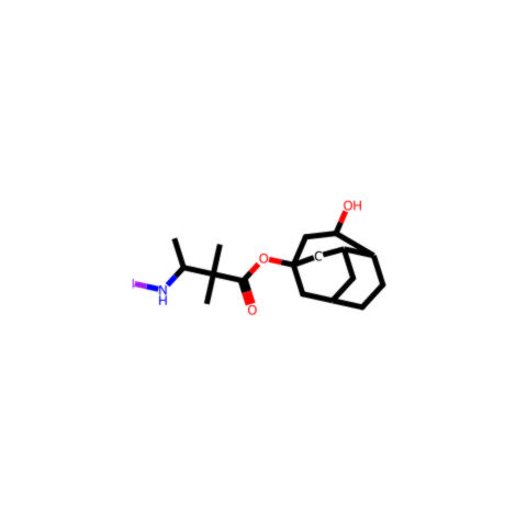 CC(NI)C(C)(C)C(=O)OC12CC3CCC(C(O)C1)C(C3)C2